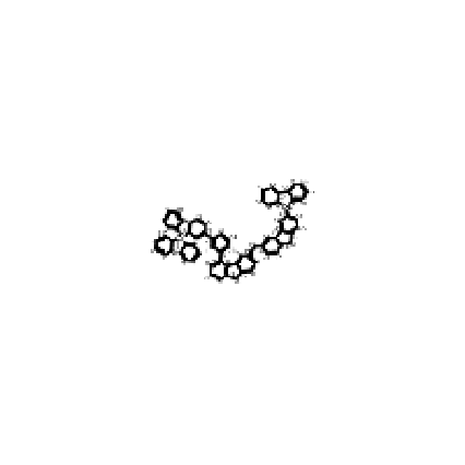 c1ccc(S(c2ccccc2)(c2ccccc2)c2cccc(-c3cccc(-c4cccc5c4-c4cc(Cc6ccc7c(c6)-c6cc(-n8c9ccccc9c9ccccc98)ccc6C7)ccc4C5)c3)c2)cc1